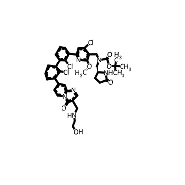 COc1nc(-c2cccc(-c3cccc(-c4ccn5c(=O)c(CNCCO)cnc5c4)c3Cl)c2Cl)cc(Cl)c1CN(C[C@@H]1CCC(=O)N1)C(=O)OC(C)(C)C